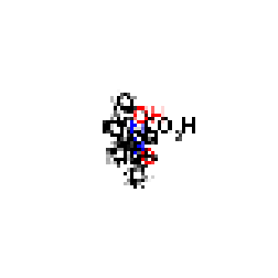 O=C(O)[C@@H]1[C@H]2C[C@@H](CN1C(O)C(c1ccccc1)c1ccccc1)N2C(=O)C(c1ccccc1)c1ccccc1